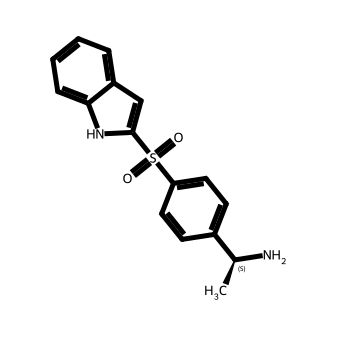 C[C@H](N)c1ccc(S(=O)(=O)c2cc3ccccc3[nH]2)cc1